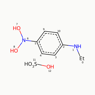 CCNc1ccc(N(O)O)cc1.O=S(=O)(O)O